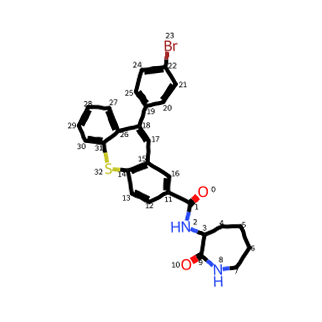 O=C(NC1CCCCNC1=O)c1ccc2c(c1)C=C(c1ccc(Br)cc1)c1ccccc1S2